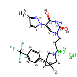 Cc1ccn(-c2cn(CCCN3C[C@@H]4C[C@]4(c4ccc(C(F)(F)F)cc4)C3)c(=O)[nH]c2=O)n1.Cl.Cl